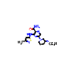 Cc1cc(Nc2nc(N3CCCC(NC(=O)O)C3)cnc2C(N)=O)sn1